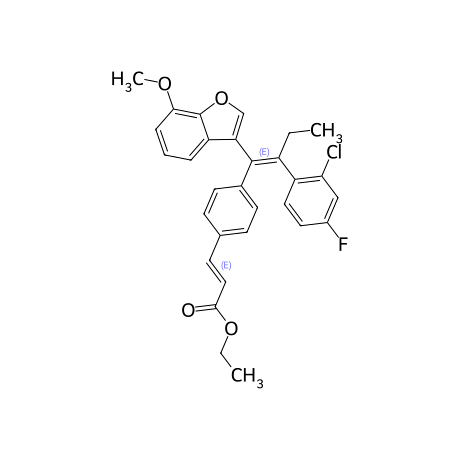 CCOC(=O)/C=C/c1ccc(/C(=C(/CC)c2ccc(F)cc2Cl)c2coc3c(OC)cccc23)cc1